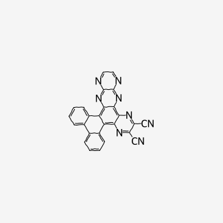 N#Cc1nc2c3nc4nccnc4nc3c3c4ccccc4c4ccccc4c3c2nc1C#N